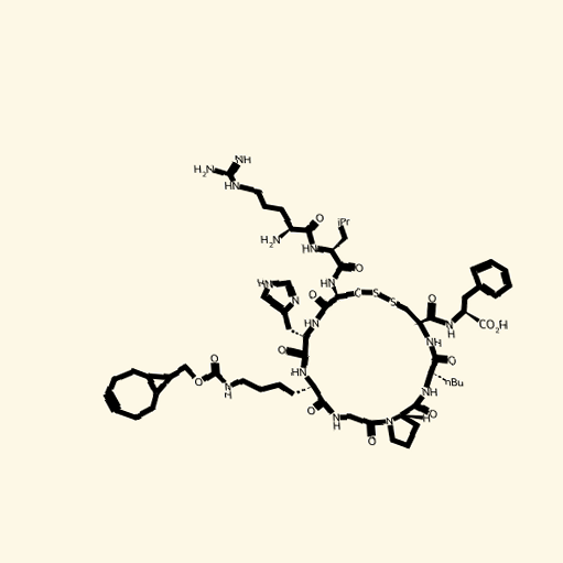 CCCC[C@@H]1NC(=O)[C@@H]2CCCN2C(=O)CNC(=O)[C@H](CCCCNC(=O)OCC2C3CCC#CCCC32)NC(=O)[C@H](Cc2c[nH]cn2)NC(=O)[C@@H](NC(=O)[C@H](CC(C)C)NC(=O)[C@@H](N)CCCNC(=N)N)CSSC[C@@H](C(=O)N[C@@H](Cc2ccccc2)C(=O)O)NC1=O